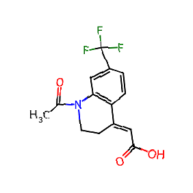 CC(=O)N1CC/C(=C\C(=O)O)c2ccc(C(F)(F)F)cc21